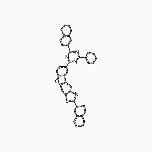 c1ccc(-c2nc(-c3ccc4ccccc4c3)nc(-c3ccc4oc5cc6sc(-c7ccc8ccccc8c7)nc6cc5c4c3)n2)cc1